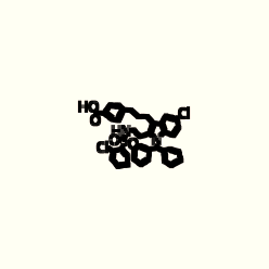 O=C(O)c1ccc(CCCc2c(CCNS(=O)(=O)c3ccccc3Cl)n(C(c3ccccc3)c3ccccc3)c3ccc(Cl)cc23)cc1